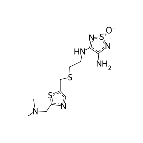 CN(C)Cc1ncc(CSCCNc2n[s+]([O-])nc2N)s1